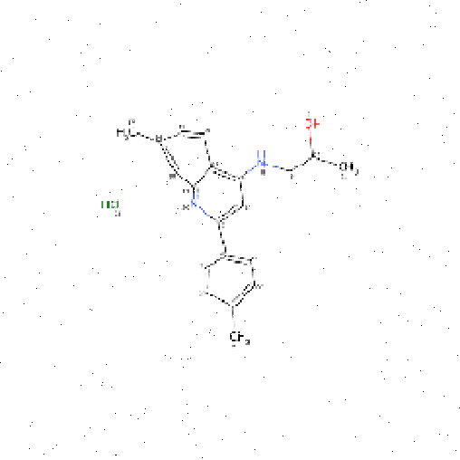 Cc1ccc(-c2cc(NCC(C)O)c3ccc(C)cc3n2)cc1.Cl